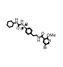 COc1ncc(Br)cc1C(=O)NCCc1ccc(S(=O)(=O)NC(=O)NC2CCCCC2)cc1